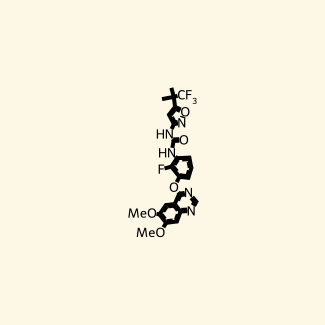 COc1cc2ncnc(Oc3cccc(NC(=O)Nc4cc(C(C)(C)C(F)(F)F)on4)c3F)c2cc1OC